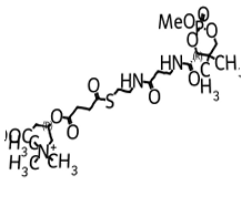 COP1(=O)OCC(C)(C)[C@H](C(=O)NCCC(=O)NCCSC(=O)CCC(=O)O[C@H](CC(=O)[O-])C[N+](C)(C)C)O1